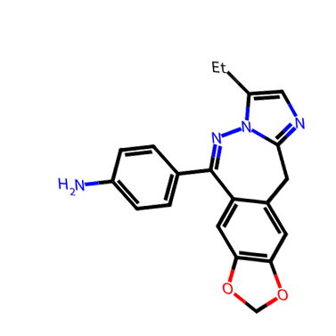 CCc1cnc2n1N=C(c1ccc(N)cc1)c1cc3c(cc1C2)OCO3